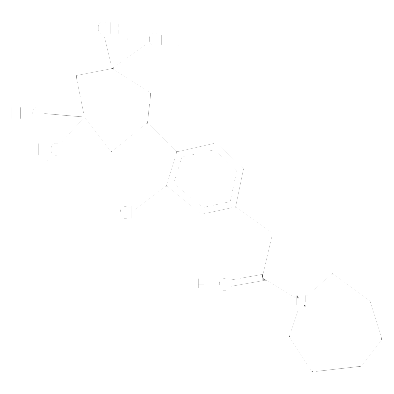 C=C(Cc1ccc(C2CC(C)(C)CC(C)(C)C2)c(Cl)c1)N1CCCCCC1